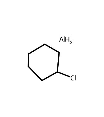 ClC1CCCCC1.[AlH3]